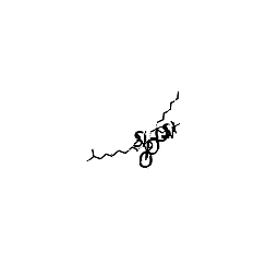 CCCCCCC[C@@H](C[C@@H]1OC(=O)[C@@]1(CCCCCCCC(C)C)[Si](C)(C)C)O[Si](C)(C)C(C)(C)C